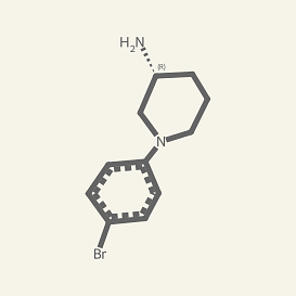 N[C@@H]1CCCN(c2ccc(Br)cc2)C1